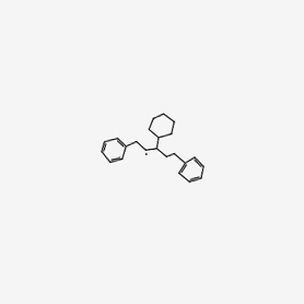 [CH](Cc1ccccc1)C(CCc1ccccc1)C1CCCCC1